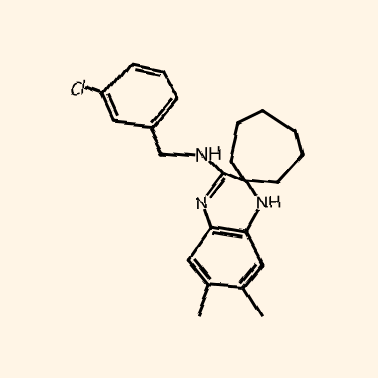 Cc1cc2c(cc1C)NC1(CCCCCC1)C(NCc1cccc(Cl)c1)=N2